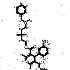 COC(=O)C1=C(C)NC(C)=C(C(=O)OCCC(C)(C)CCN(C)Cc2ccccc2)C1c1cc([N+](=O)[O-])ccc1F